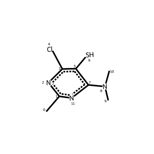 Cc1nc(Cl)c(S)c(N(C)C)n1